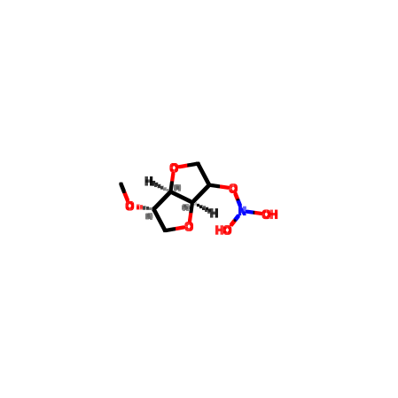 CO[C@H]1CO[C@@H]2C(ON(O)O)CO[C@H]12